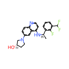 C[C@@H](Nc1ccnc2ccc(N3CC[C@H](O)C3)cc12)c1cccc(C(F)F)c1F